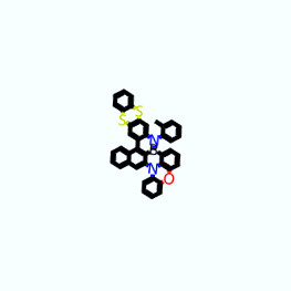 Cc1ccccc1N1B2c3cccc4c3N(c3ccccc3O4)c3cc4ccccc4c(c32)-c2cc3c(cc21)Sc1ccccc1S3